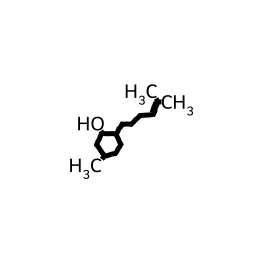 CC(C)=CCCCC1CCC(C)CC1O